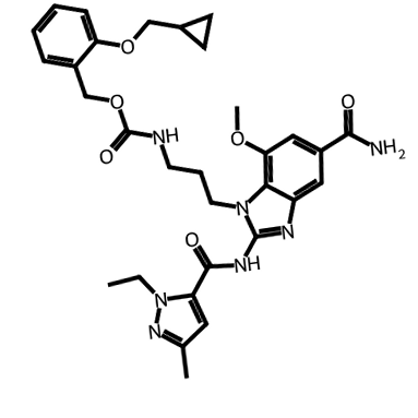 CCn1nc(C)cc1C(=O)Nc1nc2cc(C(N)=O)cc(OC)c2n1CCCNC(=O)OCc1ccccc1OCC1CC1